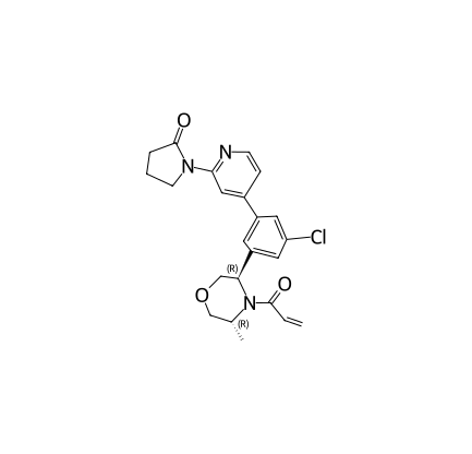 C=CC(=O)N1[C@H](C)COC[C@H]1c1cc(Cl)cc(-c2ccnc(N3CCCC3=O)c2)c1